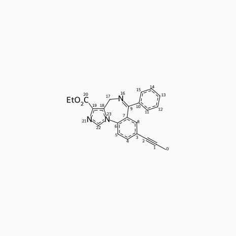 CC#Cc1ccc2c(c1)C(c1ccccc1)=NCc1c(C(=O)OCC)ncn1-2